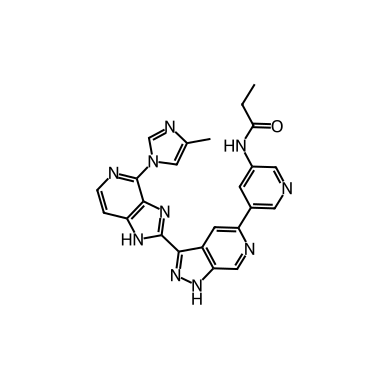 CCC(=O)Nc1cncc(-c2cc3c(-c4nc5c(-n6cnc(C)c6)nccc5[nH]4)n[nH]c3cn2)c1